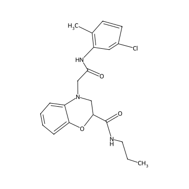 CCCNC(=O)C1CN(CC(=O)Nc2cc(Cl)ccc2C)c2ccccc2O1